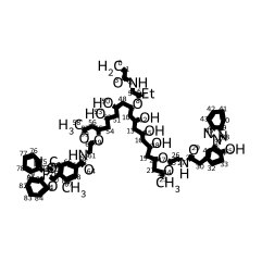 C=CC(=O)NCC(CC)OC(CC(O)CC(O)CC(O)CC1CC(C)OC(CNC(=O)Cc2ccc(O)c(-n3nc4ccccc4n3)c2)O1)CC(O)CC(O)CC1CC(C)OC(CNC(=O)c2cc(C)c(C(=O)P(=O)(c3ccccc3)c3ccccc3)c(C)c2)O1